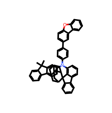 CC1(C)c2ccccc2-c2ccc(N(c3ccc(-c4ccc5oc6ccccc6c5c4)cc3)c3cccc4c3C3(c5ccccc5-4)C4CC5CC(C4)CC3C5)cc21